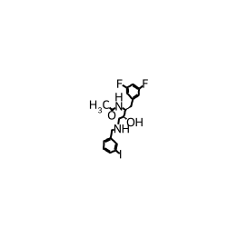 CC(=O)N[C@@H](Cc1cc(F)cc(F)c1)[C@@H](O)CNCc1cccc(I)c1